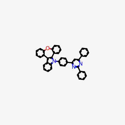 c1ccc(-c2cc(-c3ccc(-n4c5c(c6ccccc64)-c4ccccc4Oc4ccccc4-5)cc3)nc(-c3ccccc3)n2)cc1